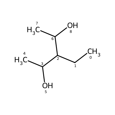 CCC(C(C)O)C(C)O